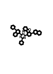 c1ccc(C2=NC(c3ccc(-c4ccc5ccccc5c4)c4oc5ccccc5c34)NC(c3ccc(-c4ccccc4)c4ccccc34)=N2)cc1